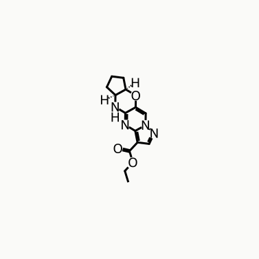 CCOC(=O)c1cnn2cc3c(nc12)N[C@H]1CCC[C@H]1O3